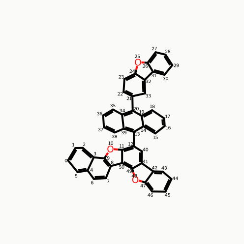 c1ccc2c(c1)ccc1c2oc2c(-c3c4ccccc4c(-c4ccc5oc6ccccc6c5c4)c4ccccc34)cc3c4ccccc4oc3c21